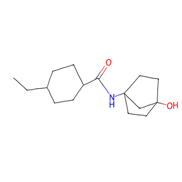 CCC1CCC(C(=O)NC23CCC(O)(CC2)C3)CC1